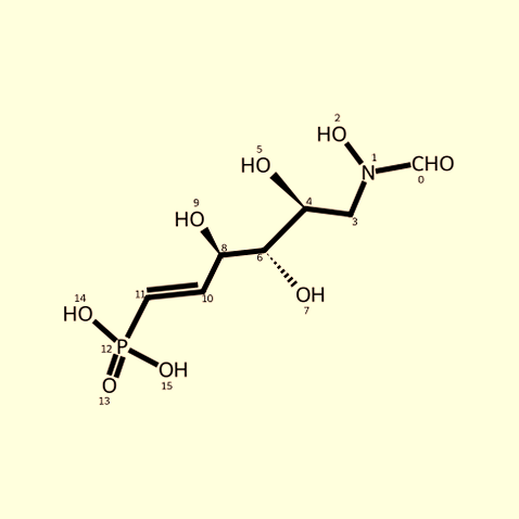 O=CN(O)C[C@H](O)[C@H](O)[C@H](O)/C=C/P(=O)(O)O